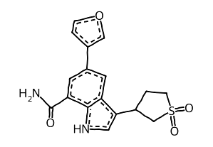 NC(=O)c1cc(-c2ccoc2)cc2c(C3CCS(=O)(=O)C3)c[nH]c12